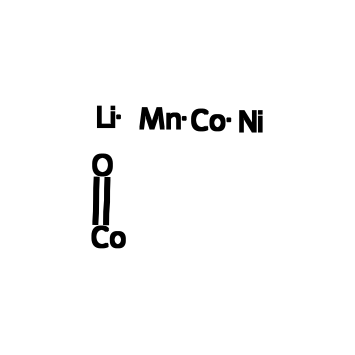 [Co].[Li].[Mn].[Ni].[O]=[Co]